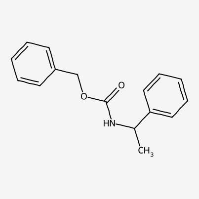 CC(NC(=O)OCc1ccccc1)c1ccccc1